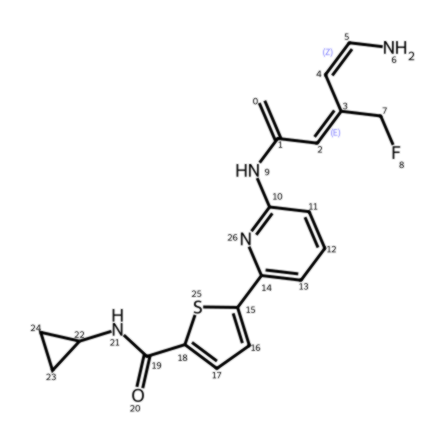 C=C(/C=C(\C=C/N)CF)Nc1cccc(-c2ccc(C(=O)NC3CC3)s2)n1